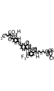 C#COP(=O)(OCC)OCCCCNC(=O)c1ccc(C(F)(F)F)cc1Nc1nc(=O)c2nc(CNc3ccc(C(=O)N[C@@H](CCC(=O)O)C(=O)O)cc3)cnc2[nH]1